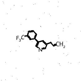 C=CCc1cncc(-c2cccc(C(F)(F)F)c2)c1